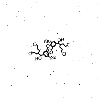 CC(C)(C)c1cc(C(O)C(CCCl)CCCCl)cc2c1OC1OC2Oc2c1cc(C(O)C(CCCl)CCCCl)cc2C(C)(C)C